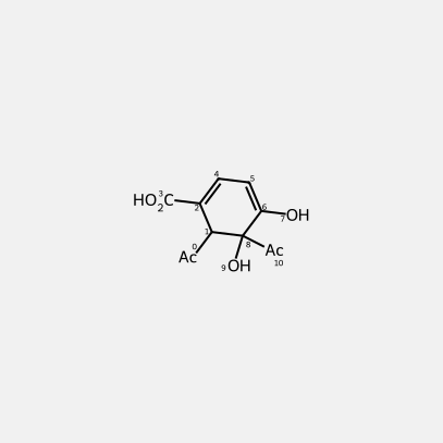 CC(=O)C1C(C(=O)O)=CC=C(O)C1(O)C(C)=O